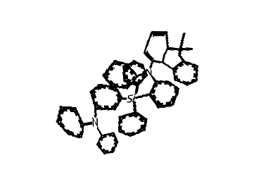 CC1(C)c2ccccc2C2C(N(c3ccccc3)c3ccccc3[Si](c3ccccc3)(c3ccccc3)c3cccc(N(c4ccccc4)c4ccccc4)c3)=CC=CC21